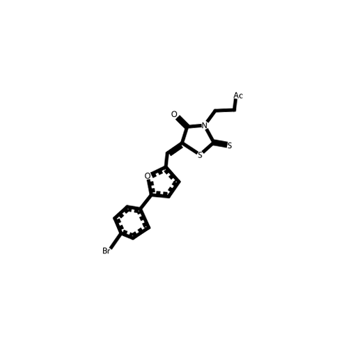 CC(=O)CCN1C(=O)C(=Cc2ccc(-c3ccc(Br)cc3)o2)SC1=S